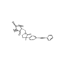 CC1(c2ccc(C#Cc3ccccc3)cc2)CCN(CC2NC(=O)NC2=O)C1=O